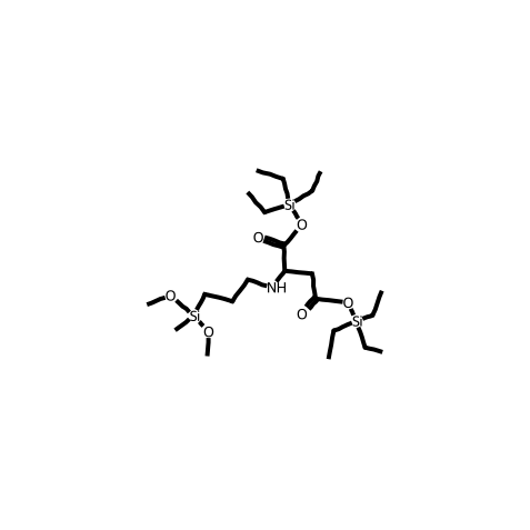 CC[Si](CC)(CC)OC(=O)CC(NCCC[Si](C)(OC)OC)C(=O)O[Si](CC)(CC)CC